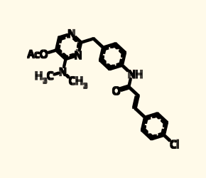 CC(=O)Oc1cnc(Cc2ccc(NC(=O)/C=C/c3ccc(Cl)cc3)cc2)nc1N(C)C